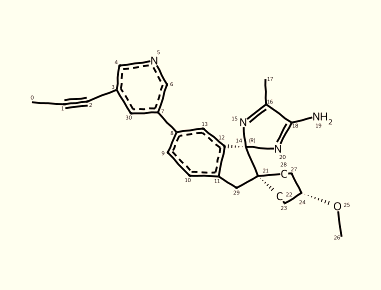 CC#Cc1cncc(-c2ccc3c(c2)[C@@]2(N=C(C)C(N)=N2)[C@]2(CC[C@@H](OC)CC2)C3)c1